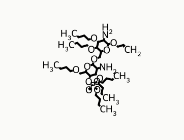 C=CCOC1OC(COC2OC(COCCCC)C(OP(=O)(OCCCC)OCCCC)C(OCCCC)C2N)C(OCCCC)C(OCCCC)C1N